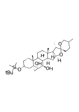 CC1CC[C@@]2(OC1)O[C@H]1C[C@H]3C4[C@@H](O)[C@@]5(O)C[C@@]56CC(O[Si](C)(C)C(C)(C)C)CC[C@]6(C)[C@H]4CC[C@]3(C)[C@H]1[C@@H]2C